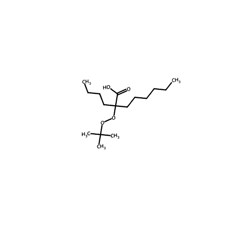 CCCCCCC(CCCC)(OOC(C)(C)C)C(=O)O